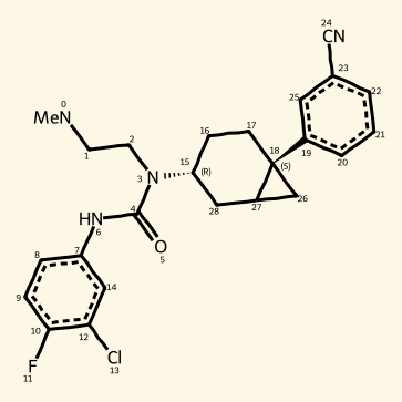 CNCCN(C(=O)Nc1ccc(F)c(Cl)c1)[C@@H]1CC[C@]2(c3cccc(C#N)c3)CC2C1